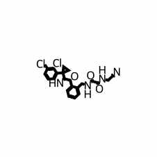 N#CCNC(=O)C(=O)NCc1ccccc1C(=O)C(=N)C1(c2cccc(Cl)c2Cl)CC1